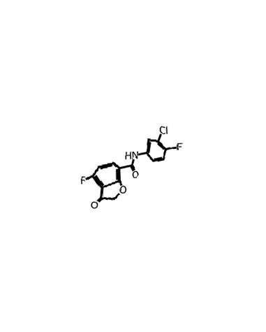 O=C(Nc1ccc(F)c(Cl)c1)c1ccc(F)c2c1OCC2=O